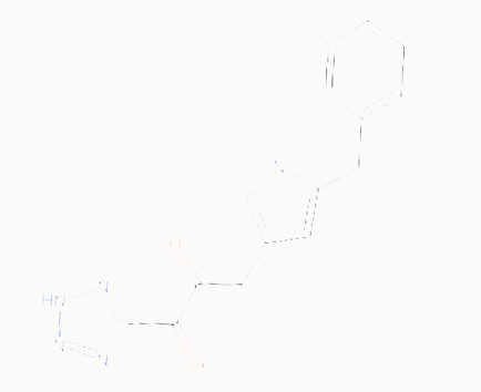 O=C(Cc1c[nH]c(Cc2cccc(F)c2)c1)C(=O)c1nn[nH]n1